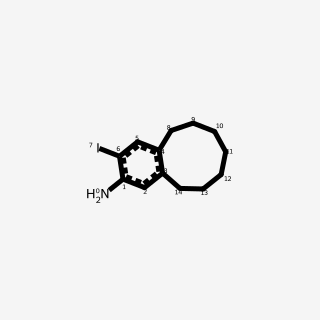 Nc1cc2c(cc1I)CCCCCCC2